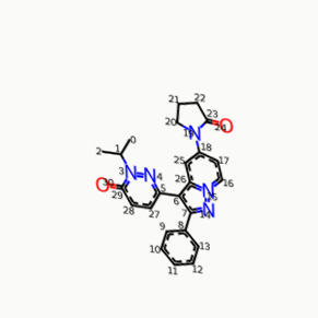 CC(C)n1nc(-c2c(-c3ccccc3)nn3ccc(N4CCCC4=O)cc23)ccc1=O